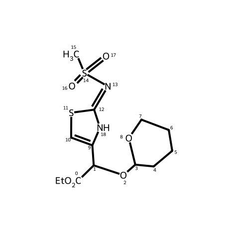 CCOC(=O)C(OC1CCCCO1)c1csc(=NS(C)(=O)=O)[nH]1